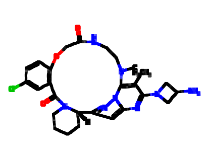 Cc1c(N2CC(N)C2)nc2cc3nn2c1N(C)CCNC(=O)COc1ccc(Cl)cc1C(=O)N1CCCC[C@@H]31